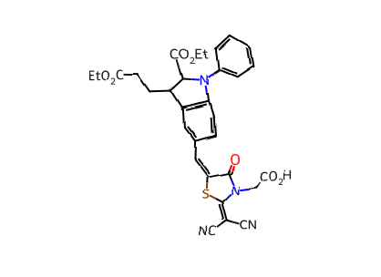 CCOC(=O)CCC1c2cc(/C=c3/sc(=C(C#N)C#N)n(CC(=O)O)c3=O)ccc2N(c2ccccc2)C1C(=O)OCC